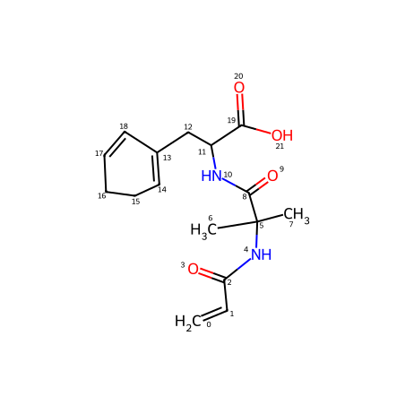 C=CC(=O)NC(C)(C)C(=O)NC(CC1=CCCC=C1)C(=O)O